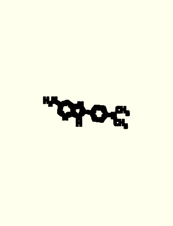 CN(C)c1ccc(-c2nc3cc(N)cnc3[nH]2)cc1